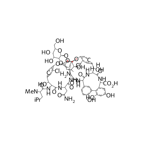 CNC(CC(C)C)C(=O)NC1C(=O)NC(CC(N)=O)C(=O)NC2C(=O)N[C@H]3C(=O)N[C@H](C(=O)NC(C(=O)O)c4cc(O)cc(O)c4-c4cc3ccc4O)[C@H](O)c3ccc(c(Cl)c3)Oc3cc2cc(c3O[C@@H]2OC(CO)[C@@H](O)C(O)C2O[C@H]2CC(C)(N)[C@H](O)C(C)O2)Oc2ccc(cc2Cl)C1O